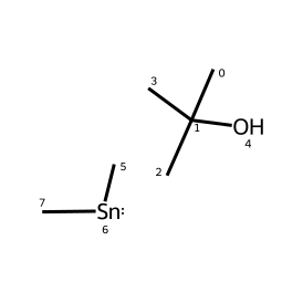 CC(C)(C)O.[CH3][Sn][CH3]